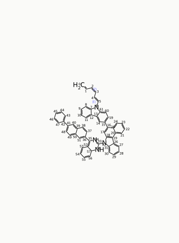 C=C/C=C\C=C\n1c2ccccc2c2cc(-c3cc4c(c5ccccc35)c3ccccc3n4C3=NC(c4ccc5cc(-c6ccccc6)ccc5c4)=C4C=CC=CC4N3)ccc21